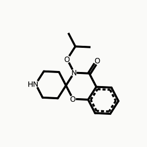 CC(C)ON1C(=O)c2ccccc2OC12CCNCC2